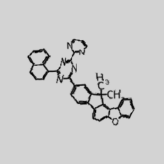 CC1(C)c2cc(-c3nc(-c4ncccn4)nc(-c4cccc5ccccc45)n3)ccc2-c2ccc3oc4ccccc4c3c21